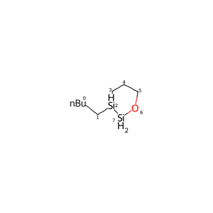 CCCCC[SiH]1CCCO[SiH2]1